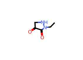 CCN1NCC(=O)C1=O